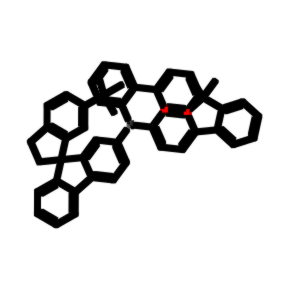 CC(C)(C)c1ccc2c(c1)C1(CC2)c2ccccc2-c2ccc(N(c3ccc4c(c3)C(C)(C)c3ccccc3-4)c3ccccc3-c3ccccc3)cc21